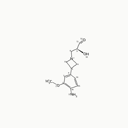 COc1cc(C2CN(C[C@H](O)C=O)C2)ccc1N